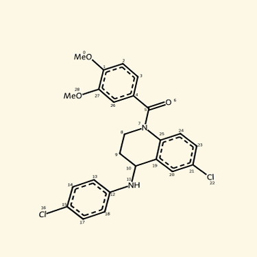 COc1ccc(C(=O)N2CCC(Nc3ccc(Cl)cc3)c3cc(Cl)ccc32)cc1OC